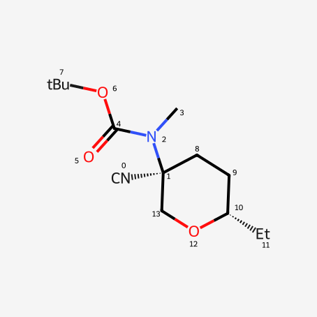 [C-]#[N+][C@]1(N(C)C(=O)OC(C)(C)C)CC[C@H](CC)OC1